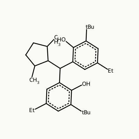 CCc1cc(C(c2cc(CC)cc(C(C)(C)C)c2O)C2C(C)CCC2C)c(O)c(C(C)(C)C)c1